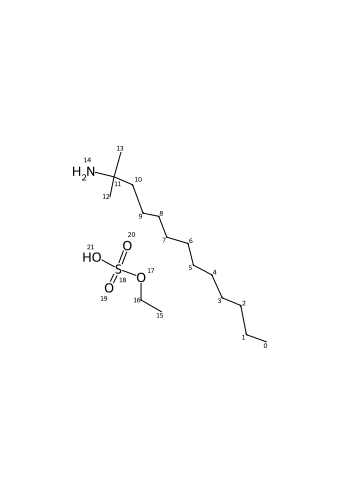 CCCCCCCCCCCC(C)(C)N.CCOS(=O)(=O)O